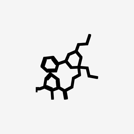 C=C(CCCC1(CCC)CC(CCC)CC(c2ccccc2)C1)c1cccc(F)c1C